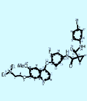 CCN(CC)CCOc1cc2nccc(Oc3ccc(NC(=O)C4(C(=O)Nc5ccc(F)cc5)CC4)cc3F)c2cc1OC